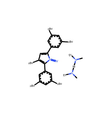 CCCCC1=C(c2cc(CCCC)cc(CCCC)c2)[N+](=[N-])C(c2cc(CCCC)cc(CCCC)c2)=C1.CC[N](C)[Ni][N](C)CC